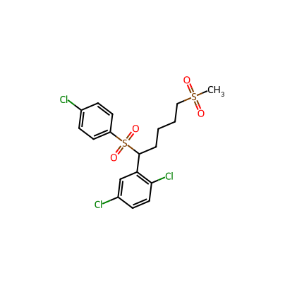 CS(=O)(=O)CCCCC(c1cc(Cl)ccc1Cl)S(=O)(=O)c1ccc(Cl)cc1